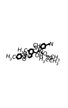 CSc1cc(C)c2c(ccn2S(=O)(=O)c2ccc(C)cc2)c1C(O)c1nc2ccc(C#N)cc2n1COCC[Si](C)(C)C